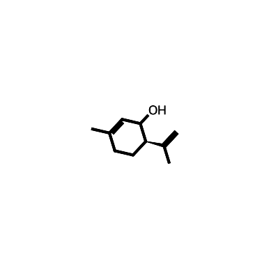 C=C(C)[C@H]1CCC(C)=CC1O